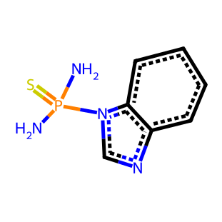 NP(N)(=S)n1cnc2ccccc21